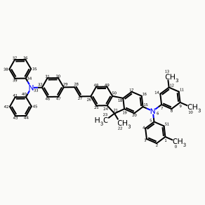 Cc1cccc(N(c2cc(C)cc(C)c2)c2ccc3c(c2)C(C)(C)c2cc(/C=C/c4ccc(N(c5ccccc5)c5ccccc5)cc4)ccc2-3)c1